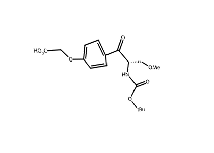 COC[C@H](NC(=O)OC(C)(C)C)C(=O)c1ccc(OCC(=O)O)cc1